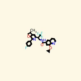 CC1COc2c1cc(C(CNC(=O)c1cc(OC3CC3)c3ncccc3c1)C(F)(F)F)nc2-c1ccc(F)cc1